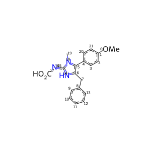 COc1ccc(-c2c(Cc3ccccc3)[nH]/c(=N\C(=O)O)n2C)cc1